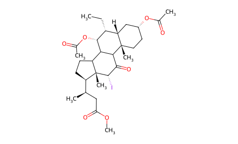 CC[C@H]1[C@@H](OC(C)=O)C2C3CC[C@H]([C@H](C)CC(=O)OC)[C@@]3(C)[C@@H](I)C(=O)C2[C@@]2(C)CC[C@@H](OC(C)=O)C[C@@H]12